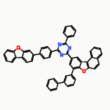 c1ccc(-c2cccc(-c3cc(-c4nc(-c5ccccc5)nc(-c5ccc(-c6ccc7c(c6)oc6ccccc67)cc5)n4)cc4c3oc3ccc5ccccc5c34)c2)cc1